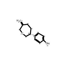 C=C1CCC[C@@H](c2ccc(O)cc2)CC1